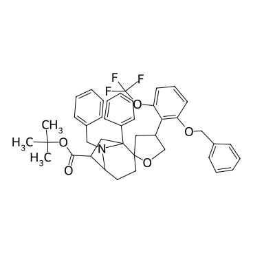 CC(C)(C)OC(=O)C1CC2(c3ccccc3)N(Cc3ccccc3)C1CCC21CC(c2c(OCc3ccccc3)cccc2OC(F)(F)F)CO1